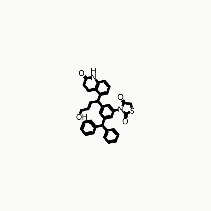 O=C1CCc2c(cccc2C(CCCO)c2cc(C(c3ccccc3)c3ccccc3)cc(N3C(=O)CSC3=O)c2)N1